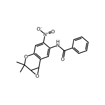 CC1(C)Oc2cc([N+](=O)[O-])c(NC(=O)c3ccccc3)cc2C2OC21